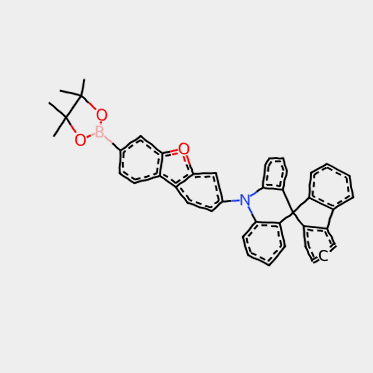 CC1(C)OB(c2ccc3c(c2)oc2cc(N4c5ccccc5C5(c6ccccc6-c6ccccc65)c5ccccc54)ccc23)OC1(C)C